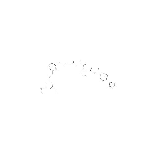 Cc1ncsc1-c1ccc([C@H](C)NC(=O)[C@@H]2C[C@H](O)CN2C(=O)[C@@H](NC(=O)CCCCc2cccc(OC[C@H](CCC(N)=O)NC(=O)OC(C)(C)C)c2Cl)C(C)(C)C)cc1